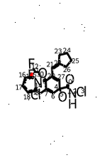 O=C(NCl)C1([O-])C=C(Cl)C(OC(F)F)([n+]2ccccc2)C(C=C2CCCC2)=C1